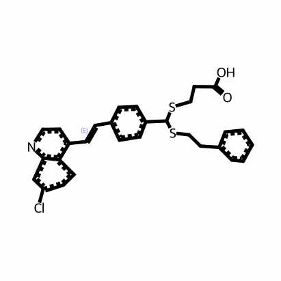 O=C(O)CCSC(SCCc1ccccc1)c1ccc(/C=C/c2ccnc3cc(Cl)ccc23)cc1